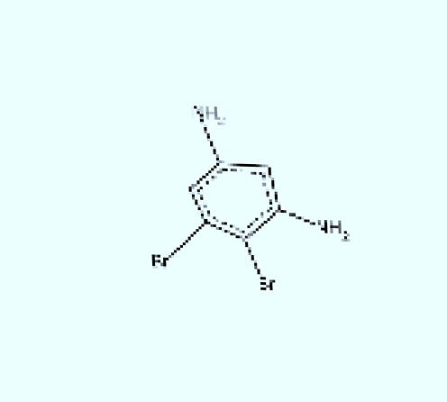 Nc1cc(N)c(Br)c(Br)c1